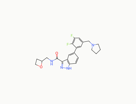 O=C(NCC1CCO1)c1n[nH]c2ccc(-c3cc(CN4CCCC4)cc(F)c3F)cc12